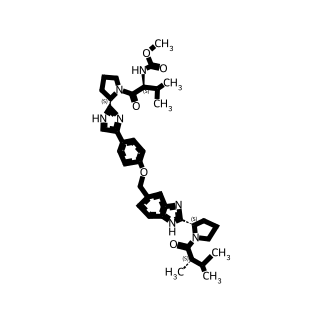 COC(=O)N[C@H](C(=O)N1CCC[C@H]1c1nc(-c2ccc(OCc3ccc4[nH]c([C@@H]5CCCN5C(=O)[C@@H](C)C(C)C)nc4c3)cc2)c[nH]1)C(C)C